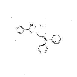 Cl.NC(CCCC=C(c1ccccc1)c1ccccc1)c1ccsc1